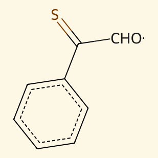 O=[C]C(=S)c1ccccc1